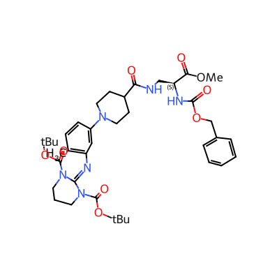 COC(=O)[C@H](CNC(=O)C1CCN(c2ccc(C)c(N=C3N(C(=O)OC(C)(C)C)CCCN3C(=O)OC(C)(C)C)c2)CC1)NC(=O)OCc1ccccc1